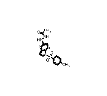 CC(=O)NNc1cnc2c(ccn2S(=O)(=O)c2ccc(C)cc2)n1